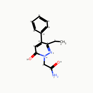 CCc1nn(CC(N)=O)c(=O)cc1-c1ccccc1